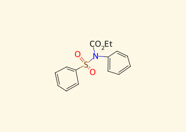 CCOC(=O)N(c1ccccc1)S(=O)(=O)c1ccccc1